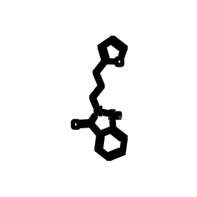 O=c1c2ccccc2[se]n1CCCc1ccco1